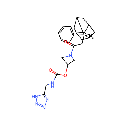 CC1C2CC3CC1CC(C2)C3(CC(=O)N1CC(OC(=O)NCc2nnn[nH]2)C1)c1ccccc1